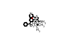 CC(C)(C)OC(=O)[N+]1(c2cccc(C(=O)c3ccccc3)c2)C(CN)CSC1c1cccnc1